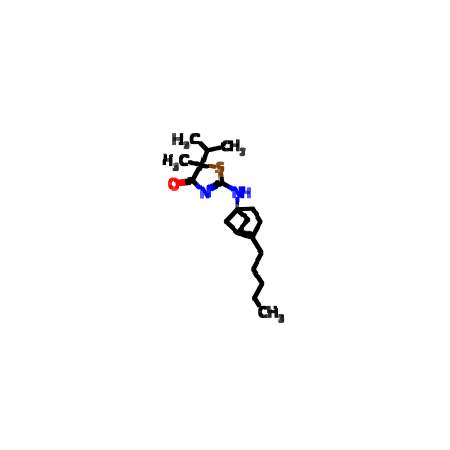 CCCCCC1=C2CC(NC3=NC(=O)C(C)(C(C)C)S3)(CC1)C2